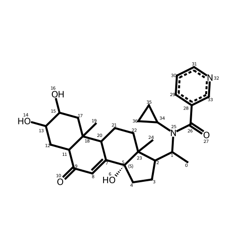 CC(C1CC[C@@]2(O)C3=CC(=O)C4CC(O)C(O)CC4(C)C3CCC12C)N(C(=O)c1cccnc1)C1CC1